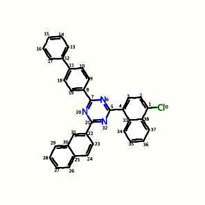 Clc1ccc(-c2nc(-c3ccc(-c4ccccc4)cc3)nc(-c3ccc4ccccc4c3)n2)c2ccccc12